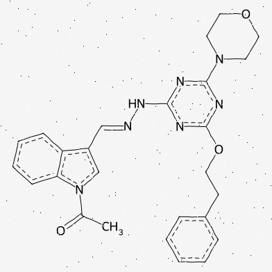 CC(=O)n1cc(C=NNc2nc(OCCc3ccccc3)nc(N3CCOCC3)n2)c2ccccc21